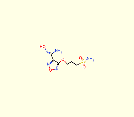 N/C(=N\O)c1nonc1OCCCS(N)(=O)=O